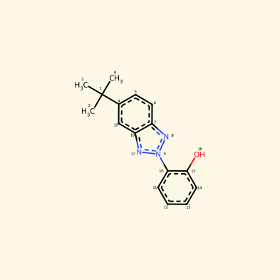 CC(C)(C)c1ccc2nn(-c3cc[c]cc3O)nc2c1